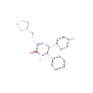 CCc1ccc(-c2c(-c3ccc(C#N)cc3)nc(NC[C@H]3CCNC3)c(=O)n2C)cc1